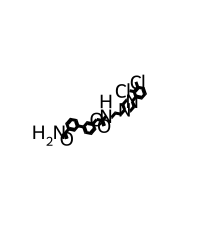 NC(=O)c1cccc(-c2cccc(OC(=O)NCCCN3CCN(c4cccc(Cl)c4Cl)CC3)c2)c1